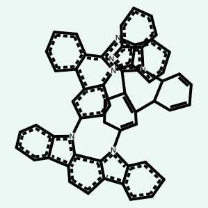 C1=CC2C3=C(CCC(n4c5ccccc5c5ccc6c7ccccc7n(-c7ccc8c(c7)c7ccccc7c7nc9ccccc9n87)c6c54)=C3)c3nc4ccccc4n3C2C=C1